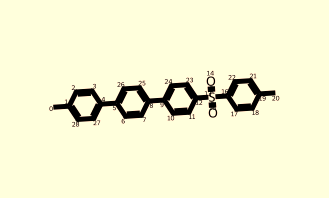 Cc1ccc(-c2ccc(-c3ccc(S(=O)(=O)c4ccc(C)cc4)cc3)cc2)cc1